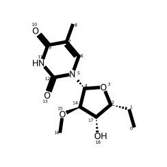 CC[C@H]1O[C@@H](n2cc(C)c(=O)[nH]c2=O)[C@H](OC)[C@H]1O